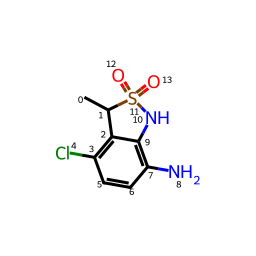 CC1c2c(Cl)ccc(N)c2NS1(=O)=O